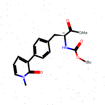 COC(=O)[C@H](Cc1ccc(-c2cccn(C)c2=O)cc1)NC(=O)OC(C)(C)C